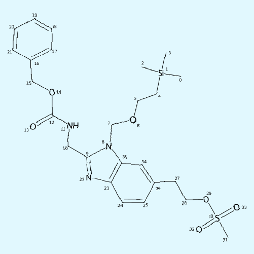 C[Si](C)(C)CCOCn1c(CNC(=O)OCc2ccccc2)nc2ccc(CCOS(C)(=O)=O)cc21